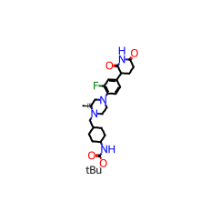 C[C@H]1CN(c2ccc(C3CCC(=O)NC3=O)cc2F)CCN1CC1CCC(NC(=O)OC(C)(C)C)CC1